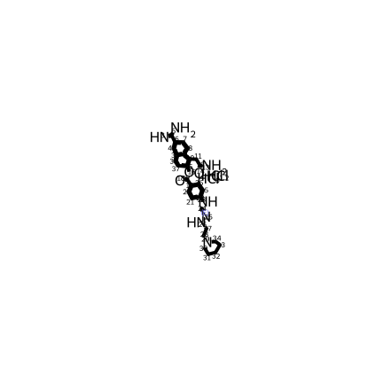 Cl.Cl.Cl.N=C(N)c1ccc2c(CC(N)=O)c(OC(=O)c3ccc(N/C=N/NCCN4CCCCC4)cc3)ccc2c1